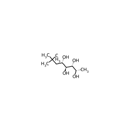 C[C@H](O)[C@@H](O)[C@@H](O)[C@@H](O)CC(C)(C)C